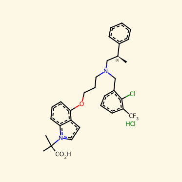 C[C@@H](CN(CCCOc1cccc2c1ccn2C(C)(C)C(=O)O)Cc1cccc(C(F)(F)F)c1Cl)c1ccccc1.Cl